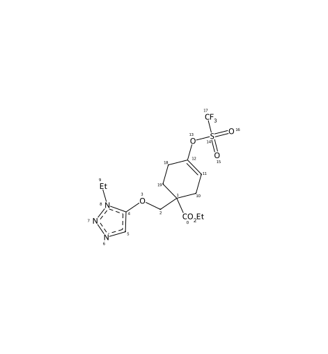 CCOC(=O)C1(COc2cnnn2CC)CC=C(OS(=O)(=O)C(F)(F)F)CC1